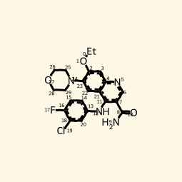 CCOc1cc2ncc(C(N)=O)c(Nc3ccc(F)c(Cl)c3)c2cc1N1CCOCC1